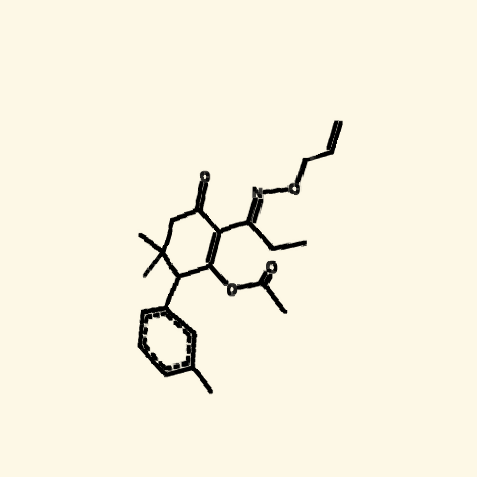 C=CCON=C(CC)C1=C(OC(C)=O)C(c2cccc(C)c2)C(C)(C)CC1=O